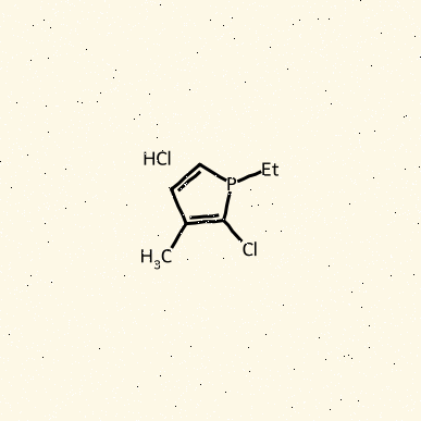 CCp1ccc(C)c1Cl.Cl